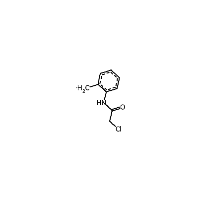 [CH2]c1ccccc1NC(=O)CCl